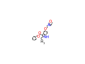 Cc1[nH]c2ccc(OCCN3CC4COC3C4)cc2c1C(=O)OCc1ccccc1